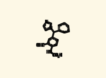 O=Cc1cc(C(c2ccccc2)n2ccnc2)ccc1NC(=O)O